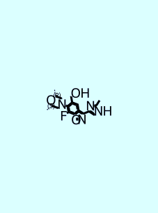 Cc1nc(-c2noc3c(F)c(N4C[C@@H](C)O[C@@H](C)C4)c(CO)cc23)c[nH]1